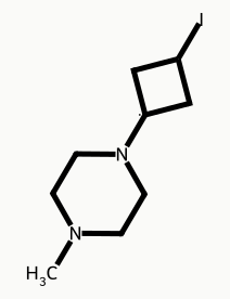 CN1CCN([C]2CC(I)C2)CC1